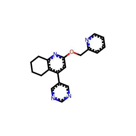 c1ccc(COc2cc(-c3cncnc3)c3c(n2)CCCC3)nc1